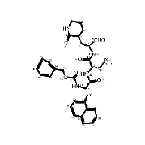 O=C[C@H](C[C@@H]1CCCNC1=O)NC(=O)[C@H](CP)NC(=O)[C@H](Cc1cccc2ccccc12)NC(=O)OCc1ccccc1